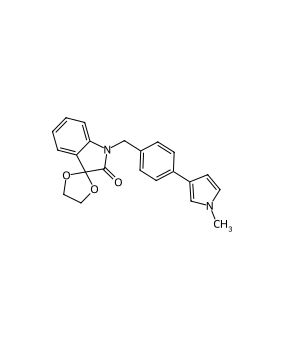 Cn1ccc(-c2ccc(CN3C(=O)C4(OCCO4)c4ccccc43)cc2)c1